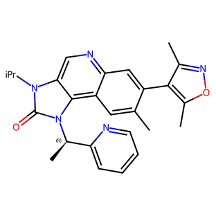 Cc1cc2c(cc1-c1c(C)noc1C)ncc1c2n([C@H](C)c2ccccn2)c(=O)n1C(C)C